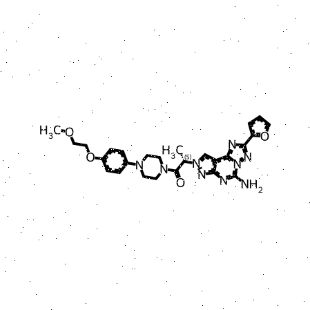 COCCOc1ccc(N2CCN(C(=O)[C@H](C)n3cc4c(nc(N)n5nc(-c6ccco6)nc45)n3)CC2)cc1